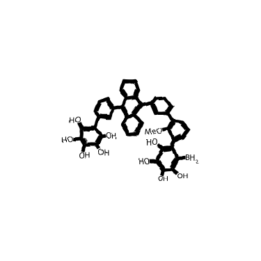 Bc1c(O)c(O)c(O)c(O)c1-c1cccc(C2=CCCC(c3c4ccccc4c(-c4cccc(-c5c(O)c(O)c(O)c(O)c5O)c4)c4ccccc34)=C2)c1OC